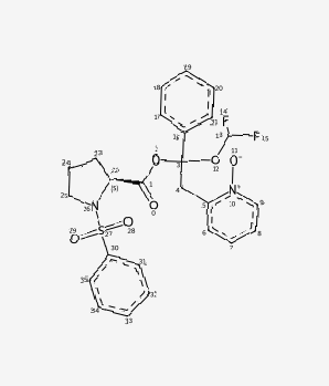 O=C(OC(Cc1cccc[n+]1[O-])(OC(F)F)c1ccccc1)[C@@H]1CCCN1S(=O)(=O)c1ccccc1